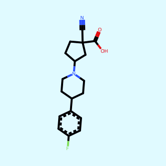 N#CC1(C(=O)O)CCC(N2CCC(c3ccc(F)cc3)CC2)C1